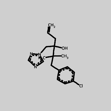 C=CCC(O)(Cn1cncn1)C(C)(C)Cc1ccc(Cl)cc1